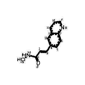 O=C(C=Cc1ccc2ncccc2c1)NO